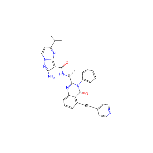 CC(C)c1ccn2nc(N)c(C(=O)N[C@H](C)c3nc4cccc(C#Cc5ccncc5)c4c(=O)n3-c3ccccc3)c2n1